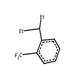 CCC(CC)c1ccccc1C(F)(F)F